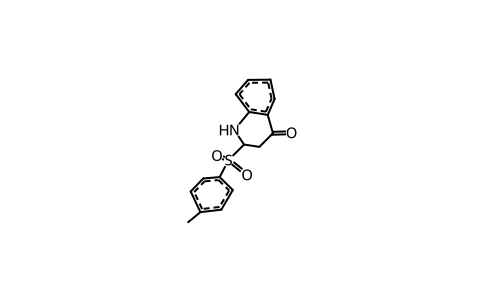 Cc1ccc(S(=O)(=O)C2CC(=O)c3ccccc3N2)cc1